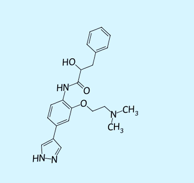 CN(C)CCOc1cc(-c2cn[nH]c2)ccc1NC(=O)C(O)Cc1ccccc1